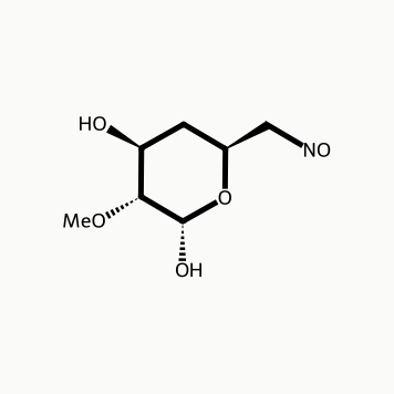 CO[C@@H]1[C@@H](O)C[C@@H](CN=O)O[C@@H]1O